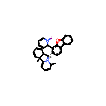 CC1C=CC=C2N1[C@@H](c1ccc3c(oc4ccccc43)c1C1C=CC=CN1I)C1C=CC=CC21C